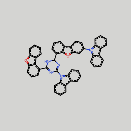 c1ccc2c(c1)oc1cccc(C3=NC(n4c5ccccc5c5ccccc54)=NC(c4cccc5c4oc4cc(-n6c7ccccc7c7ccccc76)ccc45)N3)c12